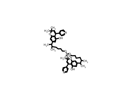 CC(CCCCO[N+](=O)OCCCCC(C)C(C)c1cc(O)c2c(c1)OC(C)(C)C=C2c1ccncc1)C(C)c1cc(O)c2c(c1)OC(C)(C)C=C2c1ccncc1